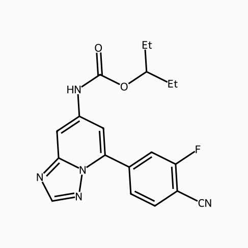 CCC(CC)OC(=O)Nc1cc(-c2ccc(C#N)c(F)c2)n2ncnc2c1